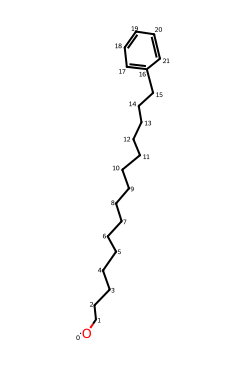 [O]CCCCCCCCCCCCCCCc1ccccc1